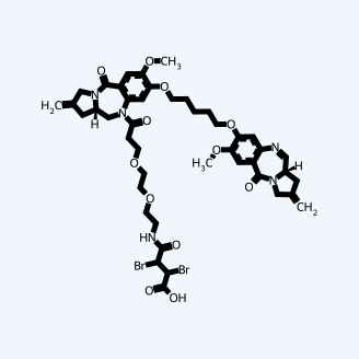 C=C1C[C@H]2CN(C(=O)CCOCCOCCNC(=O)C(Br)C(Br)C(=O)O)c3cc(OCCCCCOc4cc5c(cc4OC)C(=O)N4CC(=C)C[C@H]4C=N5)c(OC)cc3C(=O)N2C1